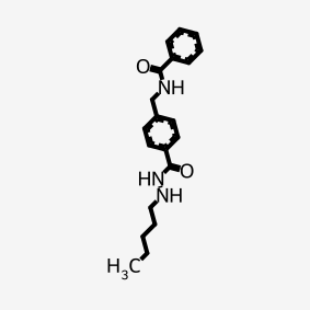 CCCCCNNC(=O)c1ccc(CNC(=O)c2ccccc2)cc1